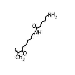 CC(I)C(=O)CCCCCNC(=O)CCCCN